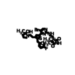 CC1(O)CCCN1CCc1cc(-c2nc(NCCN3C(=O)NC(=O)C3(C)C)ncc2Br)sc1Cc1ccc(F)cc1